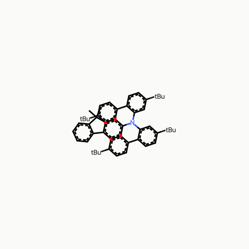 CC(C)(C)c1ccc(-c2ccc(C(C)(C)C)cc2N(c2ccc3c(c2)C(C)(C)c2ccccc2-3)c2cc(C(C)(C)C)ccc2-c2ccc(C(C)(C)C)cc2)cc1